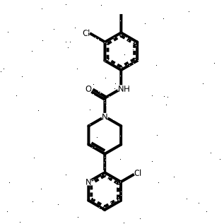 Cc1ccc(NC(=O)N2CC=C(c3ncccc3Cl)CC2)cc1Cl